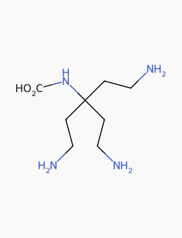 NCCC(CCN)(CCN)NC(=O)O